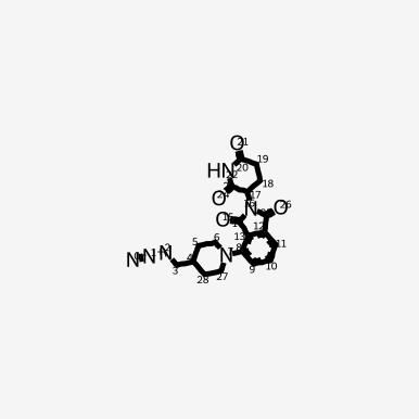 [N-]=[N+]=NCC1CCN(c2cccc3c2C(=O)N(C2CCC(=O)NC2=O)C3=O)CC1